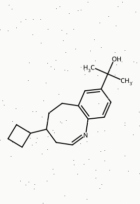 CC(C)(O)c1ccc2c(c1)CCC(C1CCC1)C/C=N\2